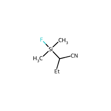 CCC(C#N)[Si](C)(C)F